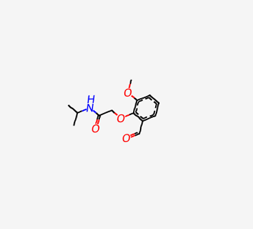 COc1cccc(C=O)c1OCC(=O)NC(C)C